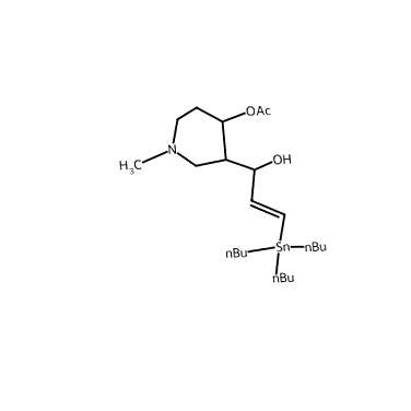 CCC[CH2][Sn](/[CH]=C/C(O)C1CN(C)CCC1OC(C)=O)([CH2]CCC)[CH2]CCC